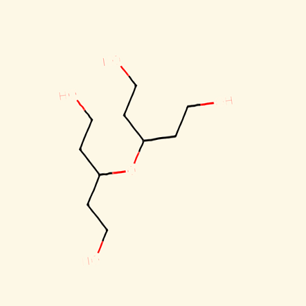 OCCC(CCO)OC(CCO)CCO